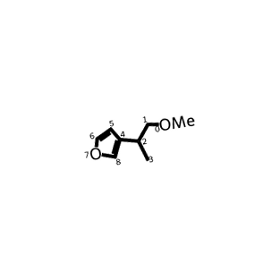 [CH2]OCC(C)c1ccoc1